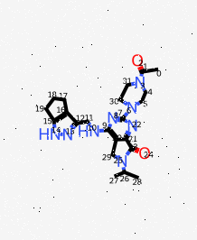 CC(=O)N1CCN(c2nc(NCc3n[nH]c4c3CCC4)c3c(n2)C(=O)N(C(C)C)C3)CC1